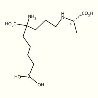 C[C@H](NCCCC(N)(CCCCB(O)O)C(=O)O)C(=O)O